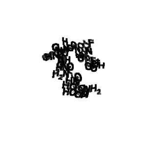 CC[C@@]1(O)C(=O)OCc2c1cc1n(c2=O)Cc2c-1nc1cc(F)c(C)c3c1c2[C@@H](NC(=O)COCNC(=O)CNC(=O)[C@H](Cc1ccccc1)NC(=O)CNC(=O)CNC(=O)[C@@H](N)CCC(=O)NC[C@@H]1O[C@H](C(N)=O)[C@@H](O)[C@H](O)[C@H]1O)CC3